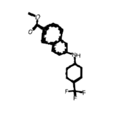 COC(=O)c1ccc2cc(NC3CCC(C(F)(F)F)CC3)ccc2c1